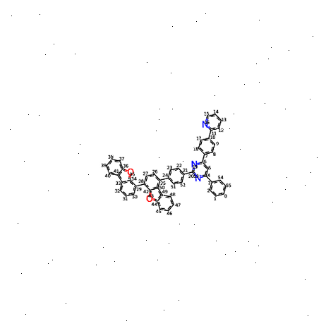 c1ccc(-c2cc(-c3ccc(-c4ccccn4)cc3)nc(-c3ccc(-c4ccc(-c5cccc6c5oc5ccccc56)c5oc6ccccc6c45)cc3)n2)cc1